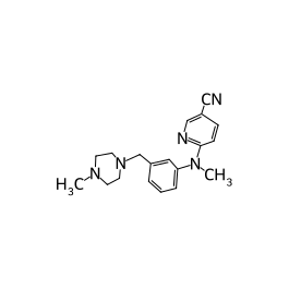 CN1CCN(Cc2cccc(N(C)c3ccc(C#N)cn3)c2)CC1